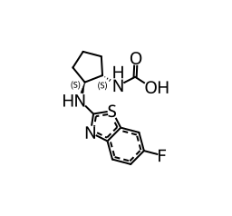 O=C(O)N[C@H]1CCC[C@@H]1Nc1nc2ccc(F)cc2s1